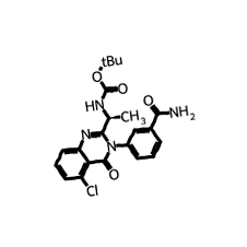 C[C@H](NC(=O)OC(C)(C)C)c1nc2cccc(Cl)c2c(=O)n1-c1cccc(C(N)=O)c1